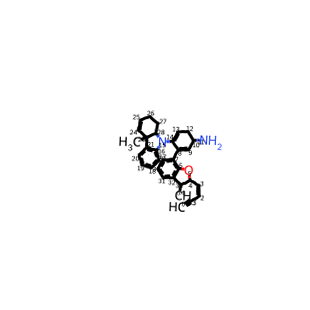 C#C/C=C\C1Oc2c(C3=CC(N)CC=C3N3c4ccccc4C4(C)C=CCCC34)cccc2C1C